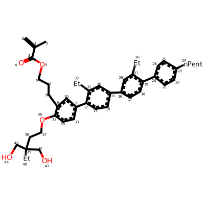 C=C(C)C(=O)OCCCc1cc(-c2ccc(-c3ccc(-c4ccc(CCCCC)cc4)c(CC)c3)cc2CC)ccc1OCCC(CC)(CO)CO